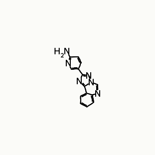 Nc1ccc(-c2nc3c4ccccc4ncn3n2)cn1